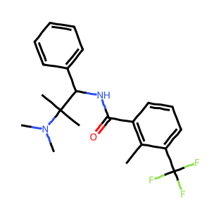 Cc1c(C(=O)NC(c2ccccc2)C(C)(C)N(C)C)cccc1C(F)(F)F